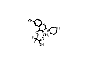 Cn1c([C@@H]2CCCNC2)nc2ccc(Cl)cc2c1=O.O=C(O)C(F)(F)F